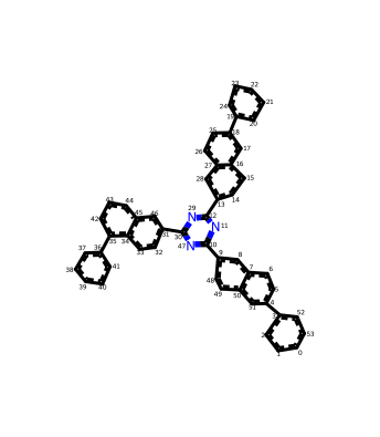 c1ccc(-c2ccc3cc(-c4nc(-c5ccc6cc(-c7ccccc7)ccc6c5)nc(-c5ccc6c(-c7ccccc7)cccc6c5)n4)ccc3c2)cc1